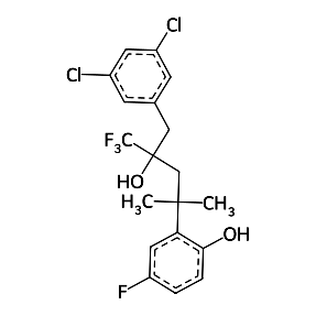 CC(C)(CC(O)(Cc1cc(Cl)cc(Cl)c1)C(F)(F)F)c1cc(F)ccc1O